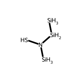 [SiH3][SiH2]N([SiH3])S